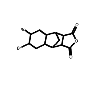 O=C1OC(=O)C2C3CC(C4CC(Br)C(Br)CC43)C12